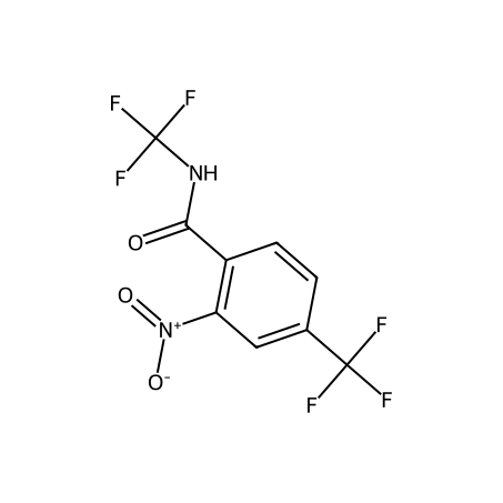 O=C(NC(F)(F)F)c1ccc(C(F)(F)F)cc1[N+](=O)[O-]